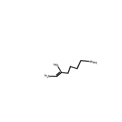 CCCCCCCCC/C(O)=C/N